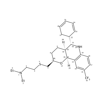 CCN(CC)CCSC[C@H]1CC[C@@H]2[C@H](O1)c1cc(C(F)(F)F)ccc1N[C@H]2C1C=CC=CC1